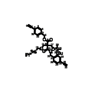 C#Cc1ccc(COC(=O)C(COCSSC(C)C)(CO[Si](C)(C)C(C)(C)C)C(=O)OCc2ccc(C#C)cc2)cc1